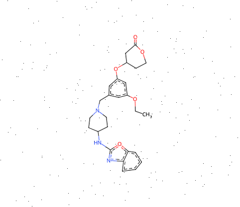 CCOc1cc(CN2CCC(Nc3nc4ccccc4o3)CC2)cc(OC2CCOC(=O)C2)c1